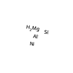 [Al].[MgH2].[Ni].[Si]